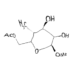 CO[C@H]1OC(COC(C)=O)[C@H](C)[C@@H](O)C1O